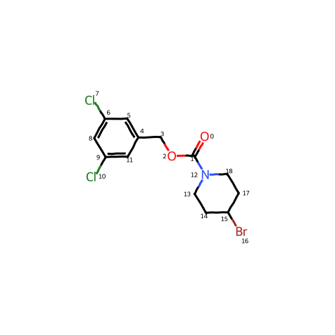 O=C(OCc1cc(Cl)cc(Cl)c1)N1CCC(Br)CC1